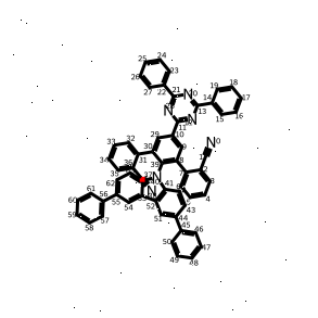 N#Cc1ccccc1-c1cc(-c2nc(-c3ccccc3)nc(-c3ccccc3)n2)cc(-c2ccccc2C#N)c1-n1c2ccc(-c3ccccc3)cc2c2cc(-c3ccccc3)ccc21